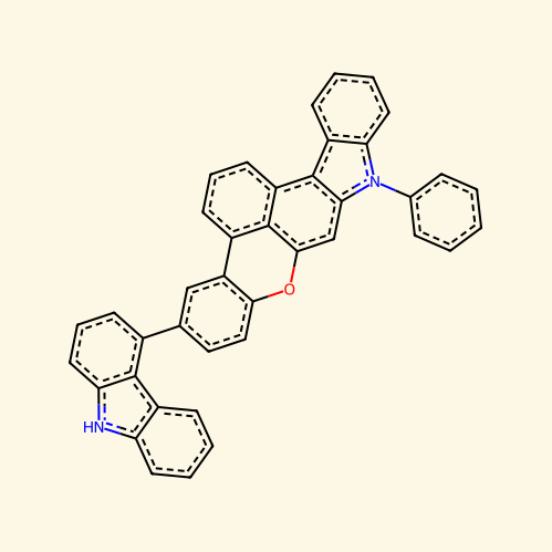 c1ccc(-n2c3ccccc3c3c4cccc5c4c(cc32)Oc2ccc(-c3cccc4[nH]c6ccccc6c34)cc2-5)cc1